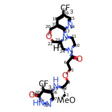 COC[C@@H](COCCC(=O)N1CCN2c3ncc(C(F)(F)F)cc3COC[C@H]2C1)Nc1cn[nH]c(=O)c1C(F)(F)F